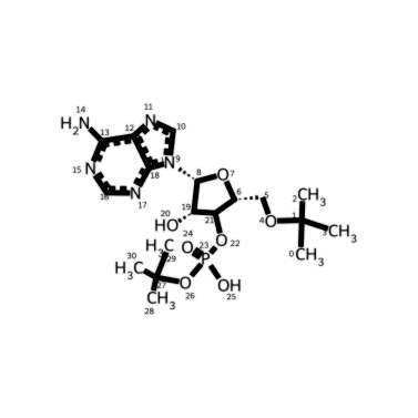 CC(C)(C)OC[C@H]1O[C@@H](n2cnc3c(N)ncnc32)[C@@H](O)C1OP(=O)(O)OC(C)(C)C